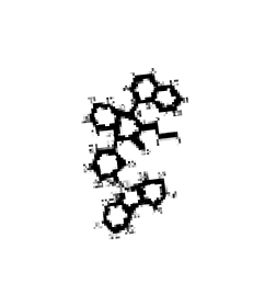 C=C/C=c1/c(-c2cccc3ccccc23)c2ccccc2c(-c2cccc(-n3c4ccccc4c4ccccc43)c2)c1=C